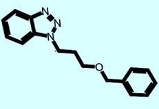 [CH](CCOCc1ccccc1)n1nnc2ccccc21